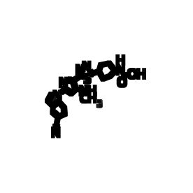 CNc1cc(-n2ccc3cc(C#N)ccc32)ncc1-c1nnc(C2CCC(NC(=O)O)CC2)s1